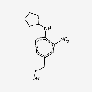 O=[N+]([O-])c1cc(CCO)ccc1NC1CCCC1